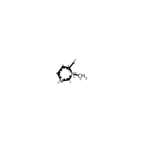 C[n+]1cnccc1I